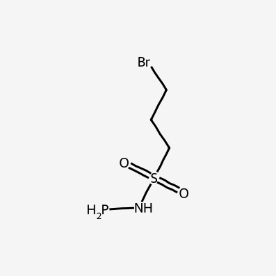 O=S(=O)(CCCBr)NP